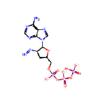 N=NC1CC(COP(=O)(O)OP(=O)(O)OP(=O)(O)O)OC1n1cnc2c(N)ncnc21